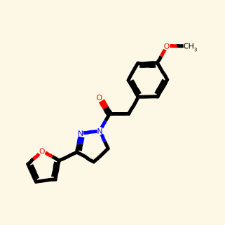 COc1ccc(CC(=O)N2CCC(c3ccco3)=N2)cc1